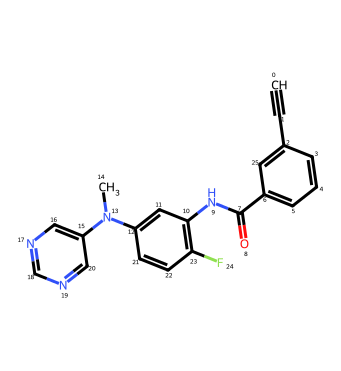 C#Cc1cccc(C(=O)Nc2cc(N(C)c3cncnc3)ccc2F)c1